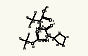 COC(=O)[C@@H](NC(=O)[C@@H](NC(=O)OC(C)(C)C)C1CCCC1)C(C)(C)C